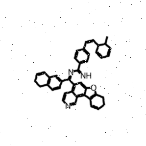 CC1C=CC=CC1/C=C\c1ccc(C(=N)/N=C(/c2ccc3c(c2)C=CCC3)c2cc3oc4c(c3c3cnccc23)C=CCC4)cc1